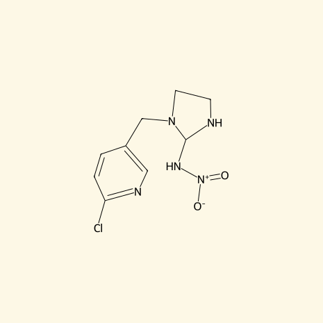 O=[N+]([O-])NC1NCCN1Cc1ccc(Cl)nc1